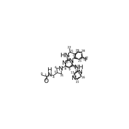 CC(=O)NCC1CN(c2cc(Nc3cnccn3)nc(NC(C)c3ccc(F)cc3)n2)C1